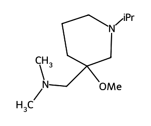 COC1(CN(C)C)CCCN(C(C)C)C1